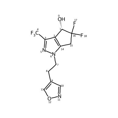 O[C@H]1c2c(C(F)(F)F)nn(CCc3cnoc3)c2CC1(F)F